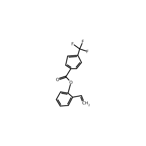 C=Cc1ccccc1OC(=O)c1ccc(C(F)(F)F)cc1